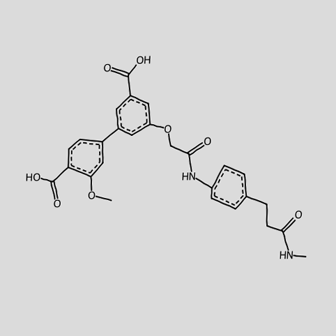 CNC(=O)CCc1ccc(NC(=O)COc2cc(C(=O)O)cc(-c3ccc(C(=O)O)c(OC)c3)c2)cc1